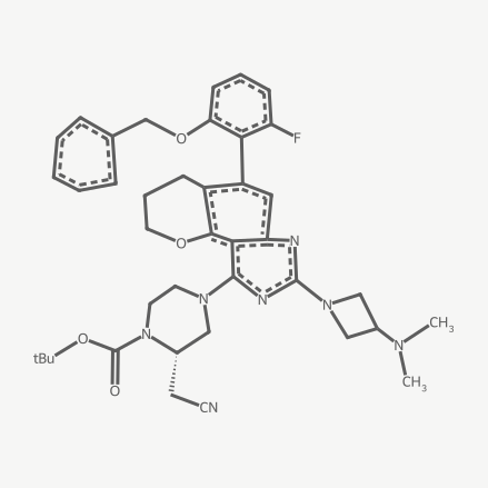 CN(C)C1CN(c2nc(N3CCN(C(=O)OC(C)(C)C)[C@@H](CC#N)C3)c3c4c(c(-c5c(F)cccc5OCc5ccccc5)cc3n2)CCCO4)C1